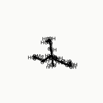 CCCC(=O)NCCCC[C@H](NC(=O)[C@H](CCCCNC(=O)CCCCO[C@H]1C[C@@H](O)[C@@H](O)[C@@H](CO)O1)NC(=O)CCCCCNC(=O)SCCCCCOP(=O)(O)OC)C(=O)N[C@@H](CCCCNC(=O)CCCCO[C@H]1C[C@@H](O)[C@@H](O)[C@@H](CO)O1)C(N)=O